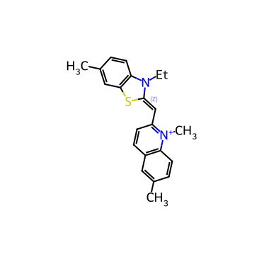 CCN1/C(=C/c2ccc3cc(C)ccc3[n+]2C)Sc2cc(C)ccc21